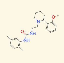 COc1ccccc1C1CCCCN1CCNC(=O)Nc1cc(C)ccc1C